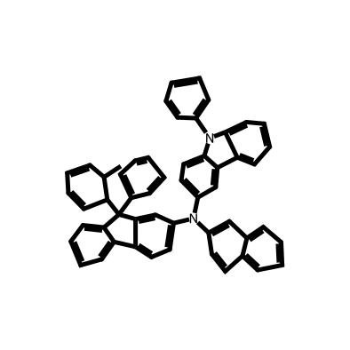 CC1C=CC=CC1C1(c2ccccc2)c2ccccc2-c2ccc(N(c3ccc4ccccc4c3)c3ccc4c(c3)c3ccccc3n4-c3ccccc3)cc21